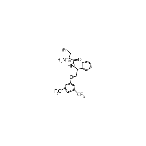 CC(C)C[C@@H](N)C(=O)NC(COc1cc(C(F)(F)F)cc(C(F)(F)F)c1)c1ccccc1